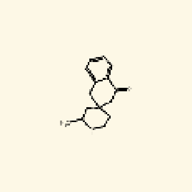 CC1CC2(CCN1)CC(=O)c1ccccc1O2